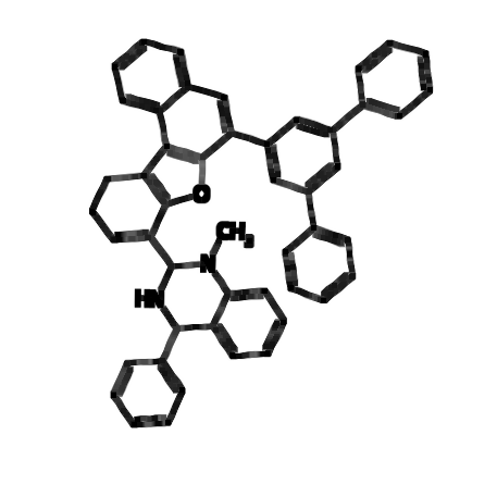 CN1c2ccccc2C(c2ccccc2)NC1C1=CCCc2c1oc1c(-c3cc(-c4ccccc4)cc(-c4ccccc4)c3)cc3ccccc3c21